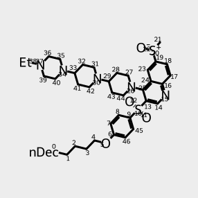 CCCCCCCCCCCCCCOc1ccc(S(=O)(=O)c2cnc3ccc([S+](C)[O-])cc3c2N2CCC(N3CCC(N4CCN(CC)CC4)CC3)CC2)cc1